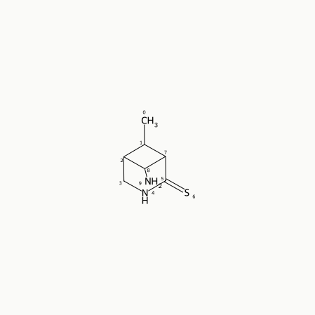 CC1C2CNC(=S)C1C2N